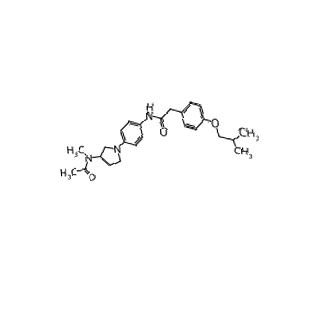 CC(=O)N(C)C1CCN(c2ccc(NC(=O)Cc3ccc(OCC(C)C)cc3)cc2)C1